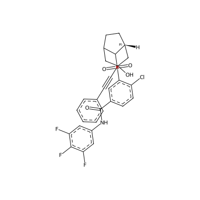 O=C(Nc1cc(F)c(F)c(F)c1)c1ccc(Cl)c(S(=O)(=O)C2C3CC[C@@H]2CC(O)(C#Cc2ccccc2)C3)c1